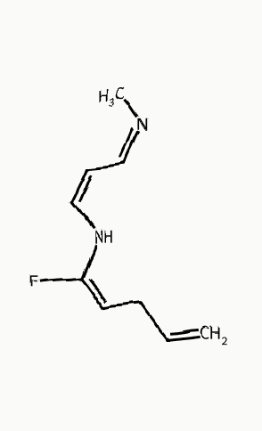 C=CC/C=C(/F)N/C=C\C=N/C